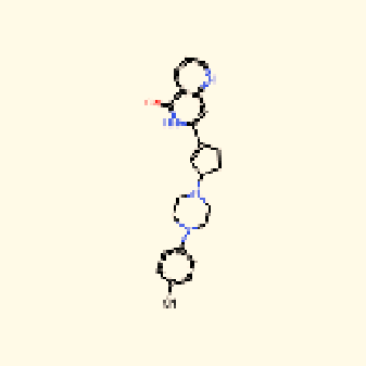 N#Cc1ccc(N2CCN(C3C=C(c4cc5ncccc5c(=O)[nH]4)CC3)CC2)cc1